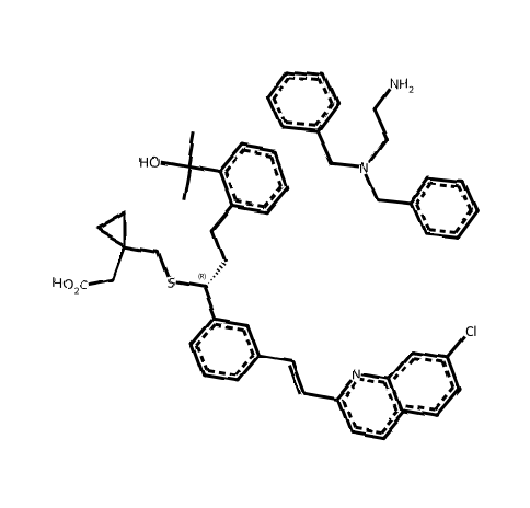 CC(C)(O)c1ccccc1CC[C@@H](SCC1(CC(=O)O)CC1)c1cccc(C=Cc2ccc3ccc(Cl)cc3n2)c1.NCCN(Cc1ccccc1)Cc1ccccc1